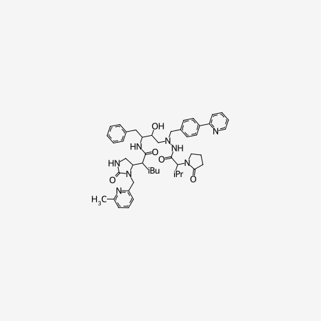 CCC(C)C(C(=O)NC(Cc1ccccc1)C(O)CN(Cc1ccc(-c2ccccn2)cc1)NC(=O)C(C(C)C)N1CCCC1=O)C1CNC(=O)N1Cc1cccc(C)n1